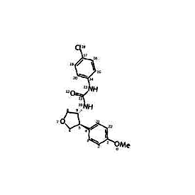 COc1ccc([C@H]2COC[C@@H]2NC(=O)Nc2ccc(Cl)cc2)cc1